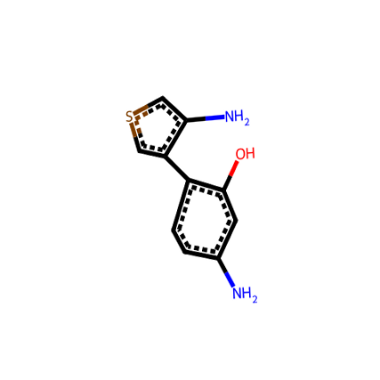 Nc1ccc(-c2cscc2N)c(O)c1